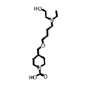 CCN(CCO)CCCCOCC1CCN(C(=O)O)CC1